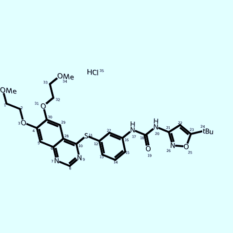 COCCOc1cc2ncnc(Sc3cccc(NC(=O)Nc4cc(C(C)(C)C)on4)c3)c2cc1OCCOC.Cl